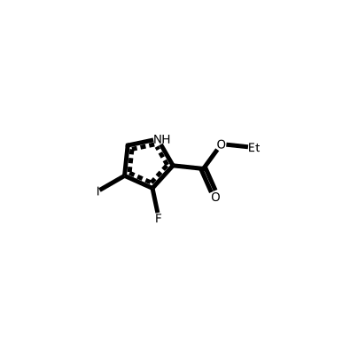 CCOC(=O)c1[nH]cc(I)c1F